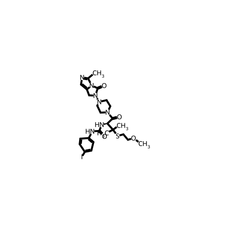 COCCSC(C)(C)[C@@H](NC(=O)Nc1ccc(I)cc1)C(=O)N1CCN(N2Cc3cnc(C)n3C2=O)CC1